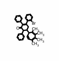 CC1=C(C)C(C)=C(C)C(C2CC(c3ccccc3Br)=C(c3ccccc3)C(=O)C2c2ccccc2)C#C1